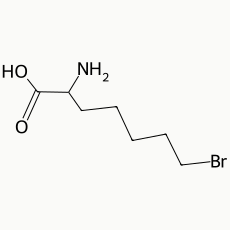 NC(CCCCCBr)C(=O)O